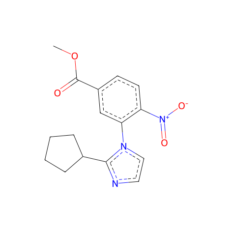 COC(=O)c1ccc([N+](=O)[O-])c(-n2ccnc2C2CCCC2)c1